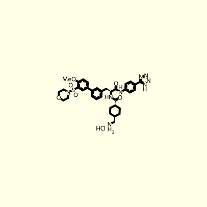 COc1ccc(-c2cccc(C[C@H](NC(=O)[C@H]3CC[C@H](CN)CC3)C(=O)Nc3ccc(-c4nnn[nH]4)cc3)c2)cc1S(=O)(=O)N1CCOCC1.Cl